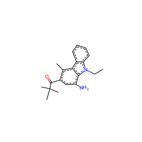 CCn1c2ccccc2c2c(C)c(C(=O)C(C)(C)C)cc(N)c21